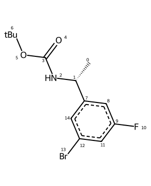 C[C@@H](NC(=O)OC(C)(C)C)c1cc(F)cc(Br)c1